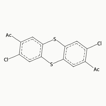 CC(=O)c1cc2c(cc1Cl)Sc1cc(C(C)=O)c(Cl)cc1S2